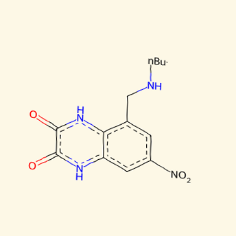 CCC[CH]NCc1cc([N+](=O)[O-])cc2[nH]c(=O)c(=O)[nH]c12